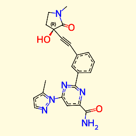 Cc1ccnn1-c1cc(C(N)=O)nc(-c2cccc(C#C[C@]3(O)CCN(C)C3=O)c2)n1